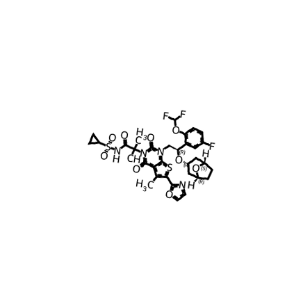 Cc1c(-c2ncco2)sc2c1c(=O)n(C(C)(C)C(=O)NS(=O)(=O)C1CC1)c(=O)n2C[C@H](O[C@H]1C[C@H]2CC[C@@H](C1)O2)c1cc(F)ccc1OC(F)F